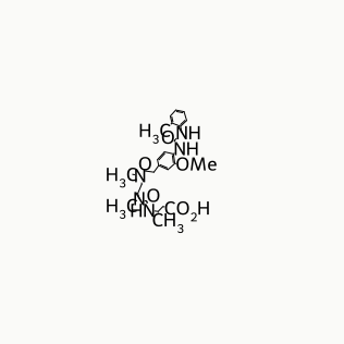 COc1cc(CC(=O)N(C)CCN(C)C(=O)NC(C)CC(=O)O)ccc1NC(=O)Nc1ccccc1C